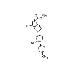 CN1CCN(c2ccc(-c3cnc4c(c3)c(Br)cn4C(=O)OC(C)(C)C)cc2C#N)CC1